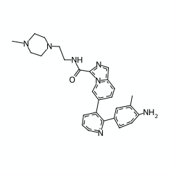 Cc1cc(-c2ncccc2-c2ccc3cnc(C(=O)NCCN4CCN(C)CC4)n3c2)ccc1N